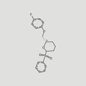 O=S(=O)(c1ccccc1)C1CCC[C@@H](COc2ccc(F)cc2)O1